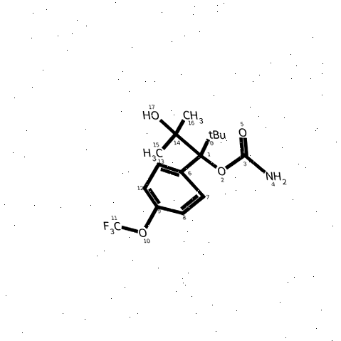 CC(C)(C)C(OC(N)=O)(c1ccc(OC(F)(F)F)cc1)C(C)(C)O